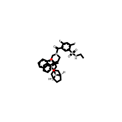 CCNS(=O)(=O)c1cc(C(=O)N2CCC(CCN3[C@@H]4CC[C@H]3CC(n3c(C)nc5ccccc53)C4)(c3ccccc3)CC2)c(F)cc1F